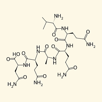 CC(C)[C@H](N)C(=O)N[C@@H](CCC(N)=O)C(=O)N[C@@H](CCC(N)=O)C(=O)N[C@@H](C)C(=O)N[C@@H](CCC(N)=O)C(=O)N[C@@H](CC(N)=O)C(=O)O